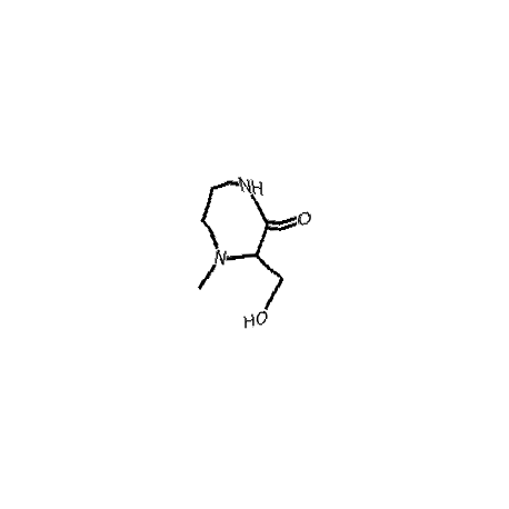 CN1CCNC(=O)C1CO